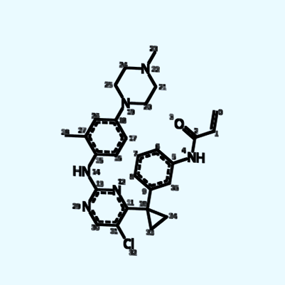 C=CC(=O)Nc1cccc(C2(c3nc(Nc4ccc(N5CCN(C)CC5)cc4C)ncc3Cl)CC2)c1